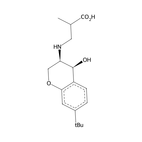 CC(CN[C@@H]1COc2cc(C(C)(C)C)ccc2[C@@H]1O)C(=O)O